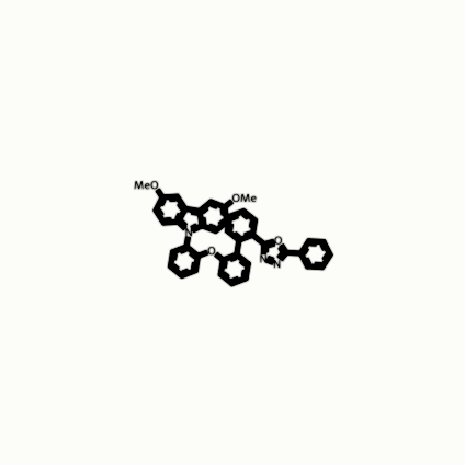 COc1ccc2c(c1)c1cc(OC)ccc1n2-c1ccccc1Oc1ccccc1-c1ccccc1-c1nnc(-c2ccccc2)o1